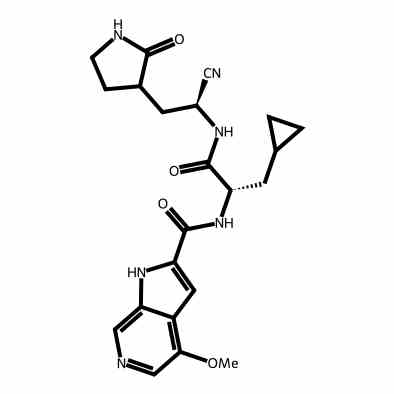 COc1cncc2[nH]c(C(=O)N[C@@H](CC3CC3)C(=O)N[C@H](C#N)CC3CCNC3=O)cc12